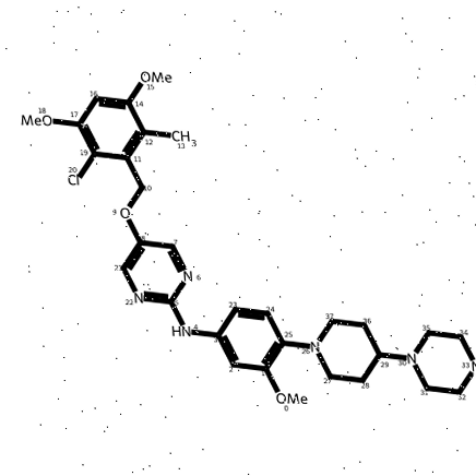 COc1cc(Nc2ncc(OCc3c(C)c(OC)cc(OC)c3Cl)cn2)ccc1N1CCC(N2CCNCC2)CC1